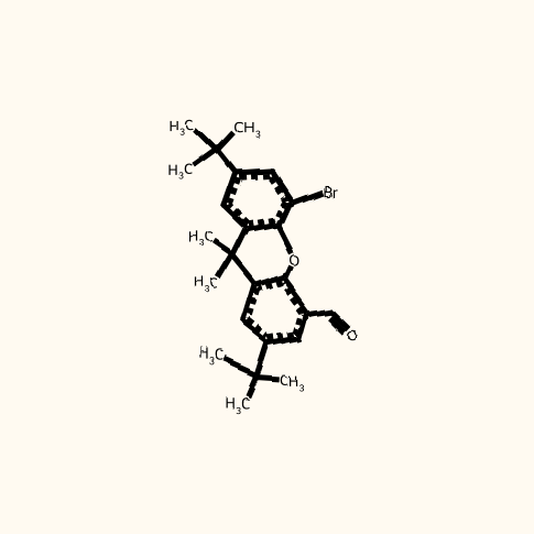 CC(C)(C)c1cc(Br)c2c(c1)C(C)(C)c1cc(C(C)(C)C)cc(C=O)c1O2